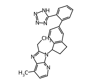 CCc1nc2c(C)ccnc2n1C1CCc2cc(-c3ccccc3-c3nnn[nH]3)ccc21